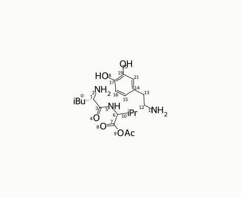 CCC(C)[C@H](N)C(=O)NC(C(=O)OC(C)=O)C(C)C.NCCc1ccc(O)c(O)c1